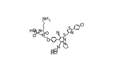 Cl.Cl.N#Cc1c(SCc2csc(-c3ccc(Cl)cc3)n2)nc(N2CCCC2)c(C#N)c1-c1ccc(OCCN(CCC(=O)O)C(=O)[C@@H](N)CCCCN)cc1